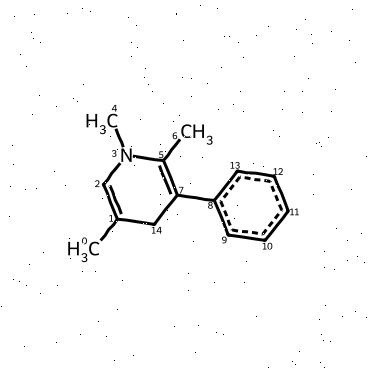 CC1=CN(C)C(C)=C(c2ccccc2)C1